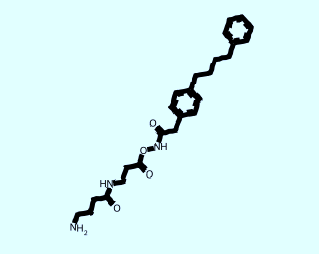 NCCCC(=O)NCCC(=O)ONC(=O)Cc1ccc(CCCCc2ccccc2)cc1